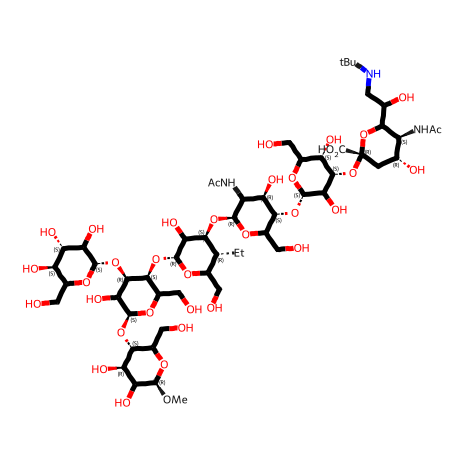 CC[C@@H]1C(CO)O[C@H](O[C@H]2C(CO)O[C@@H](O[C@@H]3C(CO)O[C@@H](OC)C(O)[C@H]3O)C(O)[C@H]2O[C@@H]2OC(CO)[C@@H](O)[C@H](O)C2O)C(O)[C@H]1O[C@@H]1OC(CO)[C@@H](O[C@@H]2OC(CO)[C@H](O)[C@H](O[C@@]3(C(=O)O)C[C@@H](O)[C@H](NC(C)=O)C(C(O)CNC(C)(C)C)O3)C2O)[C@H](O)C1NC(C)=O